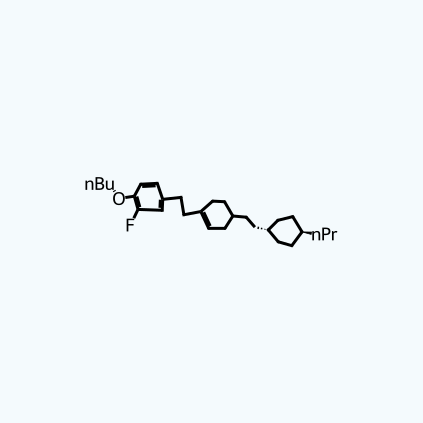 CCCCOc1ccc(CCC2=CCC(CC[C@H]3CC[C@H](CCC)CC3)CC2)cc1F